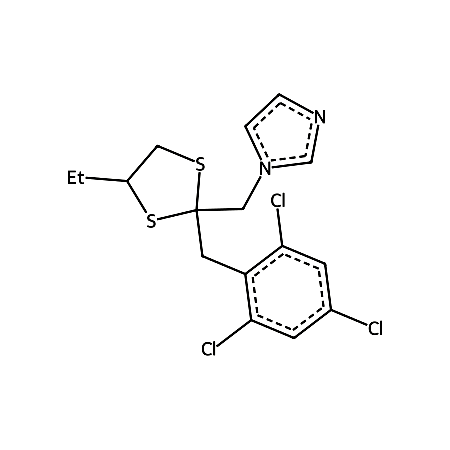 CCC1CSC(Cc2c(Cl)cc(Cl)cc2Cl)(Cn2ccnc2)S1